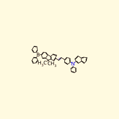 CC1(C)c2cc(/C=C/c3ccc(N(c4ccccc4)c4ccc5ccccc5c4)cc3)ccc2-c2ccc(B(c3ccccc3)c3ccccc3)cc21